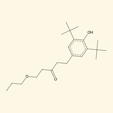 CCCOCCC(=O)CCc1cc(C(C)(C)C)c(O)c(C(C)(C)C)c1